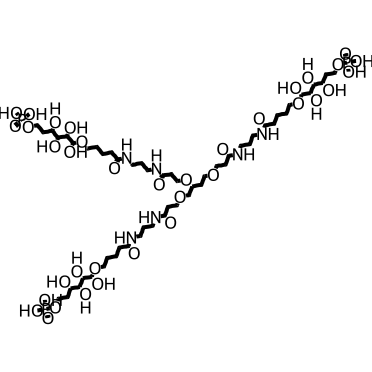 O=C(CCCCOC(O)C(O)C(O)C(O)CCOP(=O)(O)O)NCCCNC(=O)CCOCCC(COCCC(=O)NCCCNC(=O)CCCCOC(O)C(O)C(O)C(O)CCOP(=O)(O)O)OCCC(=O)NCCCNC(=O)CCCCOC(O)C(O)C(O)C(O)CCOP(=O)(O)O